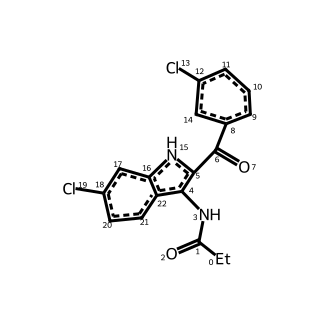 CCC(=O)Nc1c(C(=O)c2cccc(Cl)c2)[nH]c2cc(Cl)ccc12